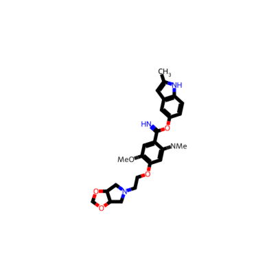 CNc1cc(OCCN2CC3OCOC3C2)c(OC)cc1C(=N)Oc1ccc2[nH]c(C)cc2c1